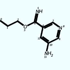 CCCOC(=N)c1cncc(N)c1